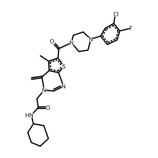 C=C1c2c(sc(C(=O)N3CCN(c4ccc(F)c(Cl)c4)CC3)c2C)N=CN1CC(=O)NC1CCCCC1